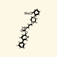 COc1ccccc1N1CCN(CCCNC(=O)Oc2ccc(-c3ccccc3)cn2)CC1